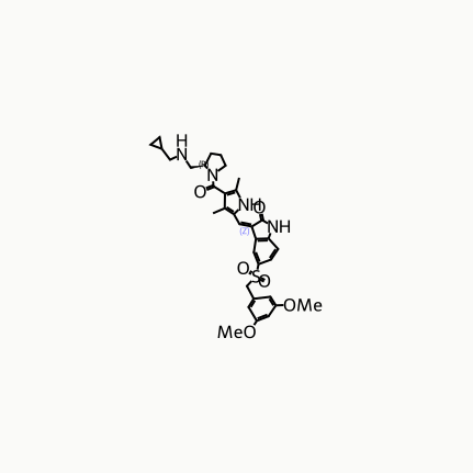 COc1cc(CS(=O)(=O)c2ccc3c(c2)/C(=C/c2[nH]c(C)c(C(=O)N4CCC[C@@H]4CNCC4CC4)c2C)C(=O)N3)cc(OC)c1